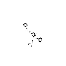 O=C(Nc1ccc(NC(=S)NCCc2ccc(F)cc2)cc1OCCN1CCOCC1)c1ccccc1F